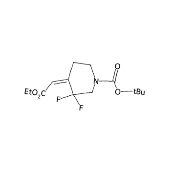 CCOC(=O)/C=C1/CCN(C(=O)OC(C)(C)C)CC1(F)F